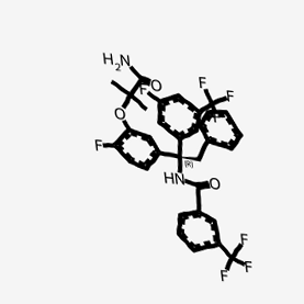 CC(C)(Oc1cc([C@@](Cc2ccccc2)(NC(=O)c2cccc(C(F)(F)F)c2)c2cc(F)cc(C(F)(F)F)c2)ccc1F)C(N)=O